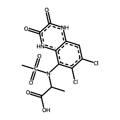 CC(C(=O)O)N(c1c(Cl)c(Cl)cc2[nH]c(=O)c(=O)[nH]c12)S(C)(=O)=O